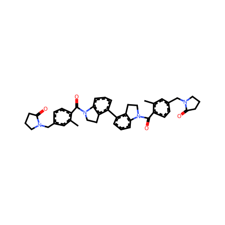 Cc1cc(CN2CCCC2=O)ccc1C(=O)N1CCc2c(-c3cccc4c3CCN4C(=O)c3ccc(CN4CCCC4=O)cc3C)cccc21